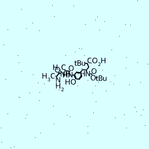 C[C@H](N)C(=O)N[C@@H](C)C(=O)Nc1cc(CC(C[C@@H](C(=O)O)C(C)(C)C)NC(=O)OC(C)(C)C)ccc1O